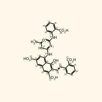 C=C(/N=C(\NC(N)=O)Nc1cc(S(=O)(=O)O)cc2cc(S(=O)(=O)O)c(/N=N/c3ccccc3C(=O)O)c(O)c12)Nc1ccccc1C(=O)O